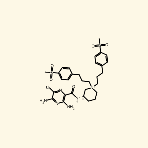 CS(=O)(=O)c1ccc(CCC[N+]2(CCCc3ccc(S(C)(=O)=O)cc3)CCC[C@H](NC(=O)c3nc(Cl)c(N)nc3N)C2)cc1